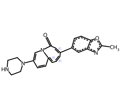 Cc1nc2cc(C3=C\C(=O)N4C=C(N5CCNCC5)C=C\C4=C/C=C/3)ccc2o1